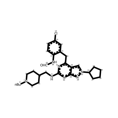 CCCCN1CCC(CNc2nc(Cc3cc(Cl)ccc3NC=O)c3cn(C4CCCC4)nc3n2)CC1